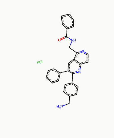 Cl.NCc1ccc(-c2nc3ccnc(CNC(=O)c4ccccc4)c3cc2-c2ccccc2)cc1